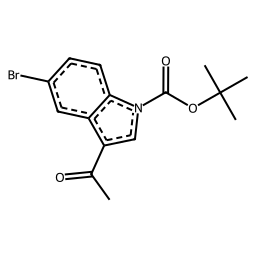 CC(=O)c1cn(C(=O)OC(C)(C)C)c2ccc(Br)cc12